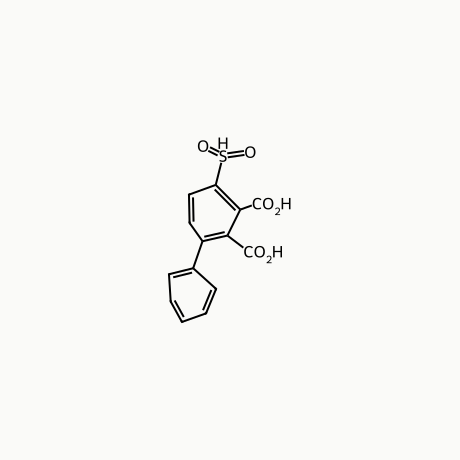 O=C(O)c1c(-c2ccccc2)ccc([SH](=O)=O)c1C(=O)O